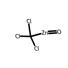 [O]=[Zn][C](Cl)(Cl)Cl